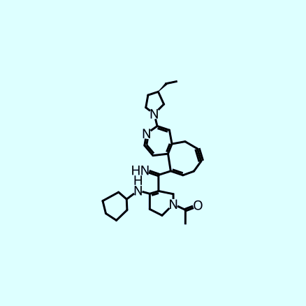 CC[C@@H]1CCN(C2=CC3=C(C=C=N2)/C(C(=N)C2=C(NC4CCCCC4)CCN(C(C)=O)C2)=C\CC#CC3)C1